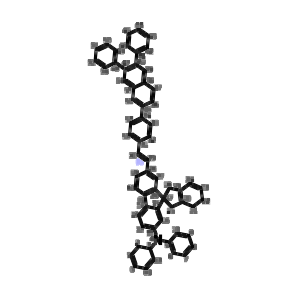 C1=CCC(N(c2ccccc2)c2ccc3c(c2)C2(CC4=C(CCC=C4)C2)c2cc(/C=C/c4ccc(-c5ccc6cc(-c7ccccc7)c(-c7ccccc7)cc6c5)cc4)ccc2-3)C=C1